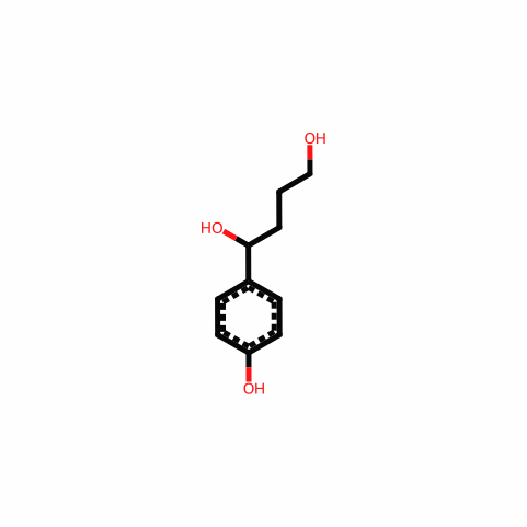 OCCCC(O)c1ccc(O)cc1